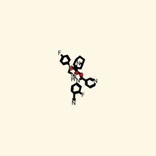 N#Cc1ccc(-n2nc(C(=O)N3C4CCC3CC3(C4)C(=O)NCN3c3ccc(F)cc3)cc2-c2cccnc2)cc1F